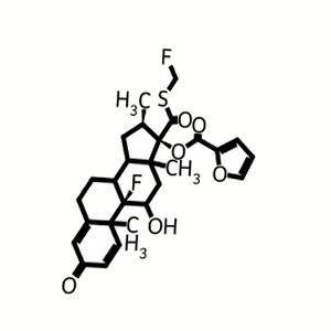 C[C@@H]1CC2C3CCC4=CC(=O)C=CC4(C)[C@@]3(F)C(O)CC2(C)[C@@]1(OC(=O)c1ccco1)C(=O)SCF